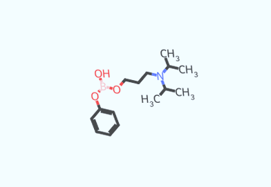 CC(C)N(CCCOB(O)Oc1ccccc1)C(C)C